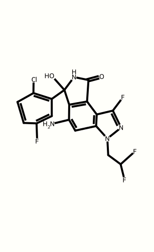 Nc1cc2c(c(F)nn2CC(F)F)c2c1C(O)(c1cc(F)ccc1Cl)NC2=O